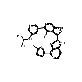 CC(C)Nc1cncc(-c2ncc3[nH]nc(-c4nc5c(-c6ccc(F)s6)nccc5[nH]4)c3c2F)c1